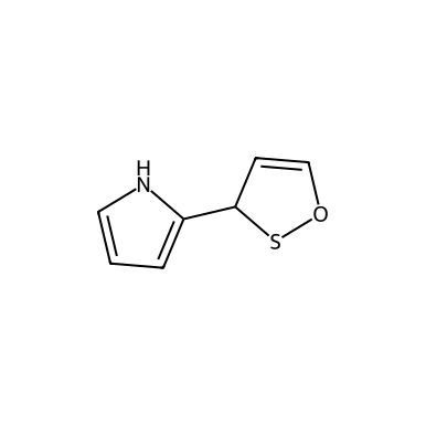 C1=CC(c2ccc[nH]2)SO1